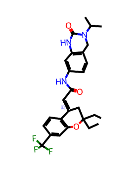 CCC1(CC)C/C(=C\C(=O)Nc2ccc3c(c2)NC(=O)N(C(C)C)C3)c2ccc(C(F)(F)F)cc2O1